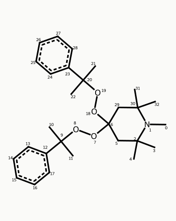 CN1C(C)(C)CC(OOC(C)(C)c2ccccc2)(OOC(C)(C)c2ccccc2)CC1(C)C